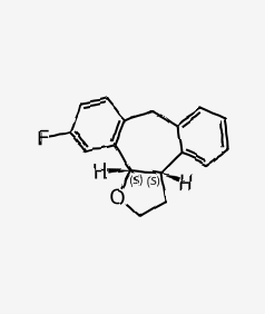 Fc1ccc2c(c1)[C@H]1OCC[C@H]1c1ccccc1C2